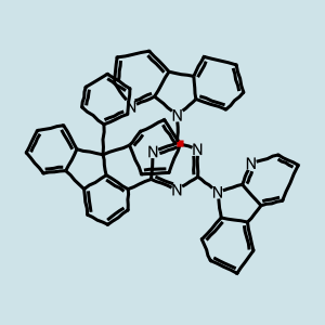 c1ccc(C2(c3ccccc3)c3ccccc3-c3cccc(-c4nc(-n5c6ccccc6c6cccnc65)nc(-n5c6ccccc6c6cccnc65)n4)c32)cc1